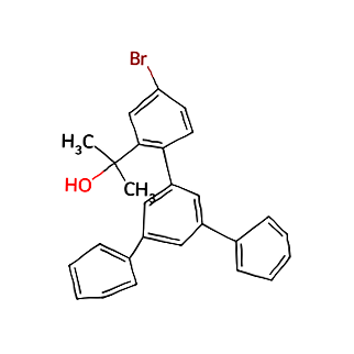 CC(C)(O)c1cc(Br)ccc1-c1cc(-c2ccccc2)cc(-c2ccccc2)c1